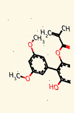 C=C(C)C(=O)Oc1cccc(O)c1-c1cc(OC)cc(OC)c1